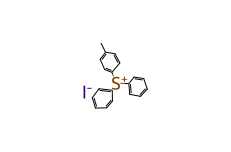 Cc1ccc([S+](c2ccccc2)c2ccccc2)cc1.[I-]